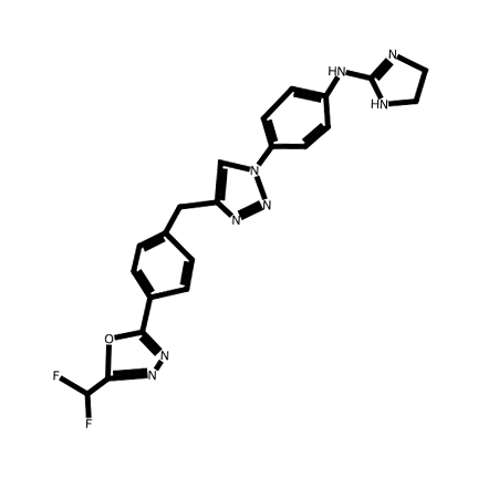 FC(F)c1nnc(-c2ccc(Cc3cn(-c4ccc(NC5=NCCN5)cc4)nn3)cc2)o1